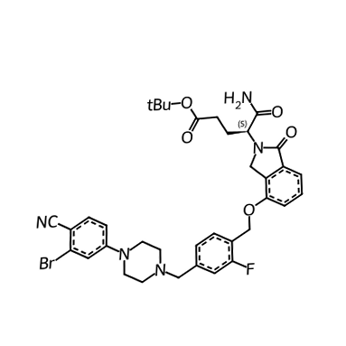 CC(C)(C)OC(=O)CC[C@@H](C(N)=O)N1Cc2c(OCc3ccc(CN4CCN(c5ccc(C#N)c(Br)c5)CC4)cc3F)cccc2C1=O